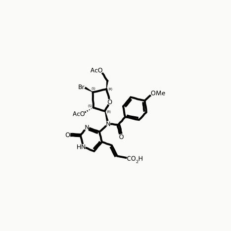 COc1ccc(C(=O)N(c2nc(=O)[nH]cc2C=CC(=O)O)[C@@H]2O[C@H](COC(C)=O)[C@H](Br)[C@H]2OC(C)=O)cc1